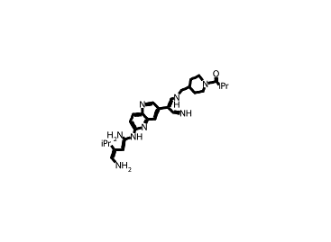 CC(C)C(=O)N1CCC(CN/C=C(\C=N)c2cnc3ccc(N/C(N)=C/C(=C\N)C(C)C)nc3c2)CC1